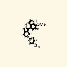 COc1c(F)cc(-c2[nH]nc3c2CN(c2ncc(C(F)(F)F)cn2)CC3)c2cc[nH]c12